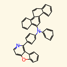 c1ccc(N(c2ccc(-c3nccc4oc5ccccc5c34)cc2)c2cc3c4ccccc4ccc3c3ccccc23)cc1